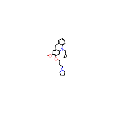 COc1cc2c(cc1OCCCN1CCCC1)N(CC1CC1)c1ccccc1C2